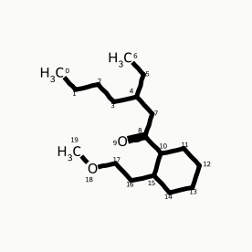 CCCCC(CC)CC(=O)C1CCCCC1CCOC